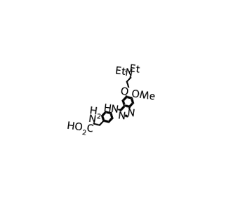 CCN(CC)CCCOc1cc2c(Nc3ccc(C[C@H](N)C(=O)O)cc3)ncnc2cc1OC